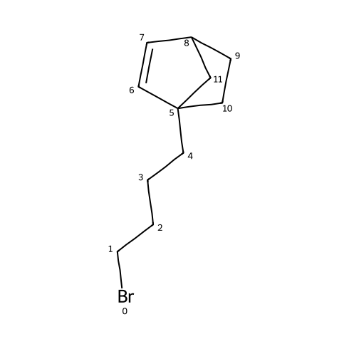 BrCCCCC12C=CC(CC1)C2